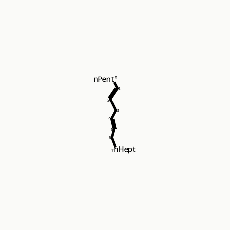 CCCCCC=CCC=CCCCCCCCC